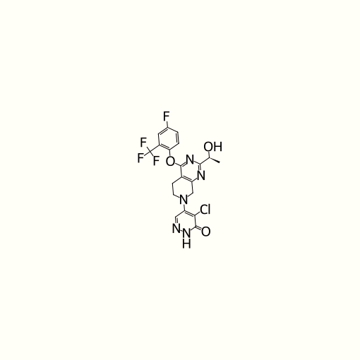 C[C@H](O)c1nc2c(c(Oc3ccc(F)cc3C(F)(F)F)n1)CCN(c1cn[nH]c(=O)c1Cl)C2